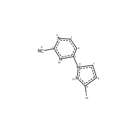 N#Cc1nccc(-n2ccc(I)n2)n1